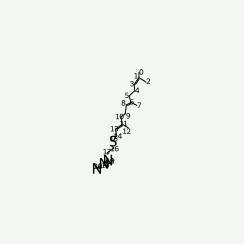 CC(C)=CCC/C(C)=C/CC/C(C)=C/CSCCN=[N+]=[N-]